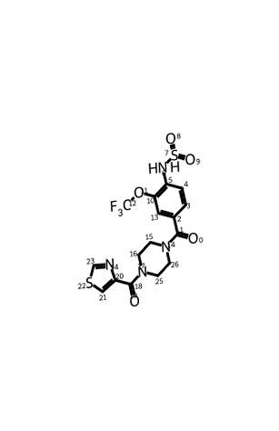 O=C(c1ccc(N[SH](=O)=O)c(OC(F)(F)F)c1)N1CCN(C(=O)c2cscn2)CC1